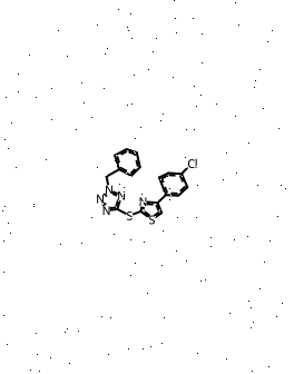 Clc1ccc(-c2csc(Sc3nnn(Cc4ccccc4)n3)n2)cc1